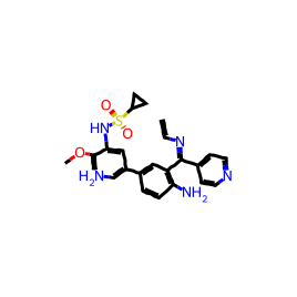 C=C/N=C(/c1ccncc1)c1cc(C(/C=C(/NS(=O)(=O)C2CC2)C(=C)OC)=C/N)ccc1N